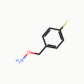 NOCc1ccc(F)cc1